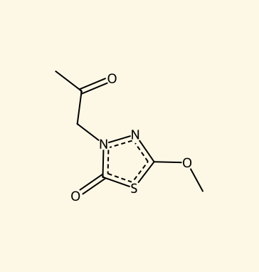 COc1nn(CC(C)=O)c(=O)s1